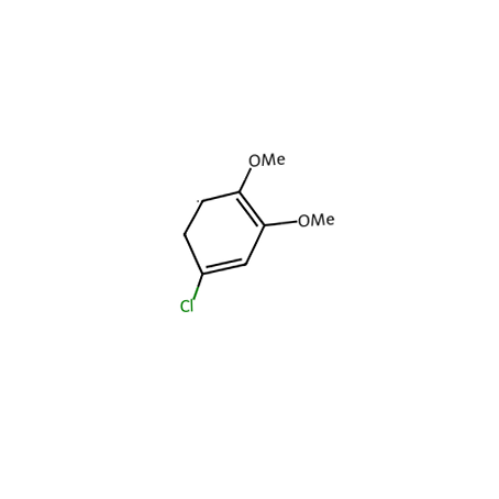 COC1=C(OC)C=C(Cl)C[CH]1